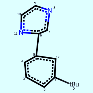 CC(C)(C)c1cccc(-c2cnccn2)c1